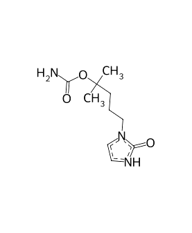 CC(C)(CCCn1cc[nH]c1=O)OC(N)=O